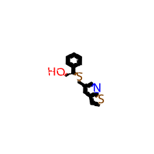 OC[C@H](SCc1cnc2sccc2c1)c1ccccc1